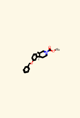 CC1CN(C(=O)OC(C)(C)C)CC[C@@]1(C)c1cccc(OCc2ccccc2)c1